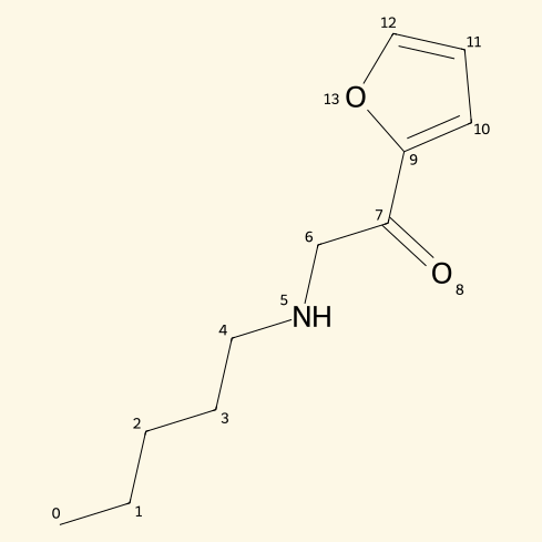 CCCCCNCC(=O)c1ccco1